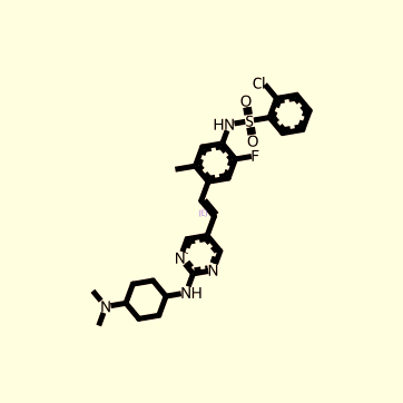 Cc1cc(NS(=O)(=O)c2ccccc2Cl)c(F)cc1/C=C/c1cnc(NC2CCC(N(C)C)CC2)nc1